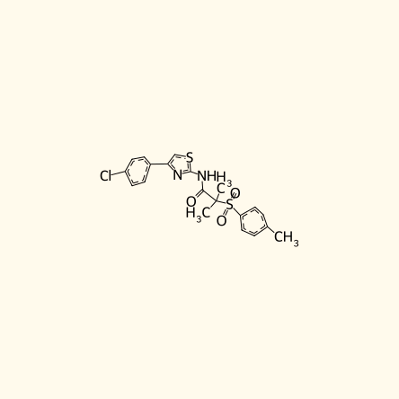 Cc1ccc(S(=O)(=O)C(C)(C)C(=O)Nc2nc(-c3ccc(Cl)cc3)cs2)cc1